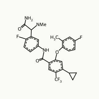 CNC(C(N)=O)c1cc(NC(=O)c2cc(C(F)(F)F)c(C3CC3)cc2Oc2ccc(F)cc2C)ccc1F